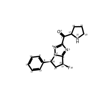 O=C(c1nc2n(n1)[C@H](c1ccccc1)C[C@@H]2F)C1CCCN1